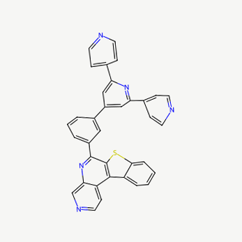 c1cc(-c2cc(-c3ccncc3)nc(-c3ccncc3)c2)cc(-c2nc3cnccc3c3c2sc2ccccc23)c1